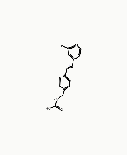 O=C(O)NCc1ccc(/C=C/c2ccnc(F)c2)cc1